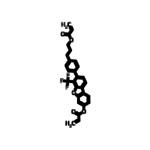 C=CC(=O)OCCCc1ccc(-c2ccc3c(oc4cc(OC(=O)C=C)ccc43)c2C(F)(F)F)cc1